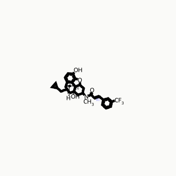 CN(C(=O)/C=C/c1cccc(C(F)(F)F)c1)C1CC2Oc3c(O)ccc4c3[C@@]23CCN(CC2CC2)[C@H](C4)[C@]3(O)C1